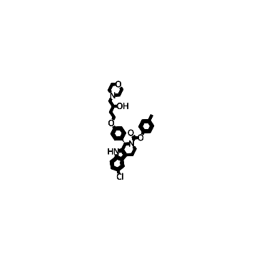 Cc1ccc(OC(=O)N2CCc3c([nH]c4ccc(Cl)cc34)[C@@H]2c2ccc(OCCC(O)CN3CCOCC3)cc2)cc1